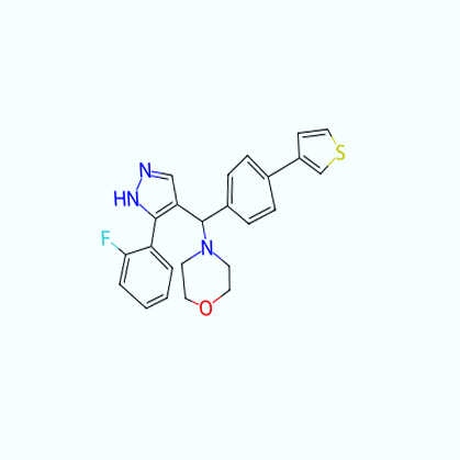 Fc1ccccc1-c1[nH]ncc1C(c1ccc(-c2ccsc2)cc1)N1CCOCC1